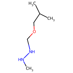 CNNCOCC(C)C